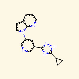 [c]1cnc2c(c1)ccn2-c1cncc(-c2n[nH]c(C3CC3)n2)c1